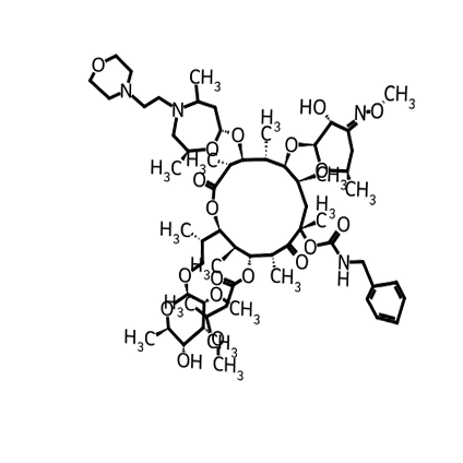 CON=C1C[C@@H](C)O[C@@H](O[C@@H]2[C@@H](C)[C@H](O[C@H]3CC(C)N(CCN4CCOCC4)C[C@H](C)O3)[C@@H](C)C(=O)O[C@H]([C@@H](C)CO[C@@H]3O[C@H](C)[C@@H](O)[C@@H](OC)[C@H]3OC)[C@H](C)[C@@H](OC(=O)CC(C)C)[C@@H](C)C(=O)[C@@](C)(OC(=O)NCc3ccccc3)C[C@@H]2C)[C@@H]1O